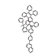 CC1(c2ccccc2)c2ccccc2-c2c(N(c3ccc(-c4ccc(-c5ccc6ccccc6c5)cc4)cc3)c3ccccc3-c3ccc4c(c3)c(-c3ccccc3)c(-c3ccccc3)c3ccccc34)cccc21